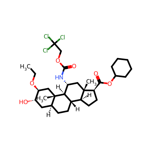 CCO[C@H]1C[C@@]2(C)[C@@H](CC[C@@H]3[C@@H]2[C@H](NC(=O)OCC(Cl)(Cl)Cl)C[C@]2(C)[C@@H](C(=O)OC4CCCCC4)CC[C@@H]32)C[C@@H]1O